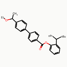 CCCCC(CCC)c1ccccc1OC(=O)c1ccc(-c2ccc(C(C)OCC)cc2)cc1